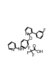 Fc1cccc(-c2cccnc2Oc2ccc(Nc3ccccn3)cc2)c1.O=C(O)C(F)(F)F